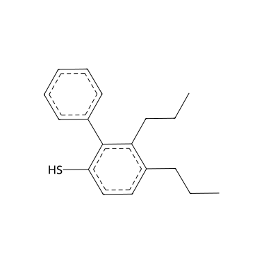 CCCc1ccc(S)c(-c2ccccc2)c1CCC